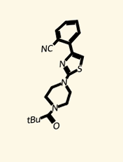 CC(C)(C)C(=O)N1CCN(c2nc(-c3ccccc3C#N)cs2)CC1